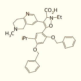 CCN1OC(c2cc(C(C)C)c(OCc3ccccc3)cc2OCc2ccccc2)=C(c2cnc3c(c2)CN(C)CC3)C1C(=O)O